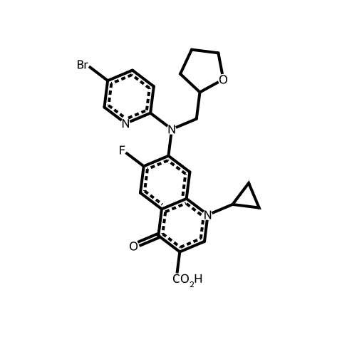 O=C(O)c1cn(C2CC2)c2cc(N(CC3CCCO3)c3ccc(Br)cn3)c(F)cc2c1=O